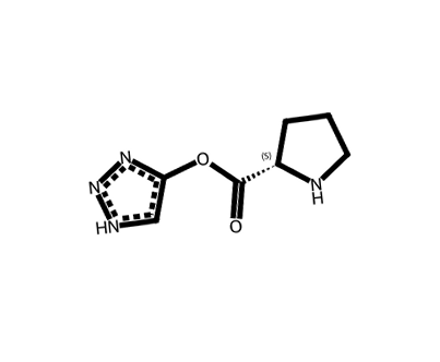 O=C(Oc1c[nH]nn1)[C@@H]1CCCN1